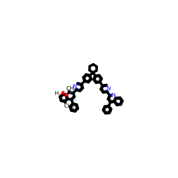 CC/C(C)=C(\C=C(\c1ccccc1)c1ccccc1C)c1ccc(-c2ccc(C3(c4ccc(-c5ccc(-c6cc(-c7ccccc7)c7ccccc7n6)nc5)cc4)CCCCC3)cc2)cn1